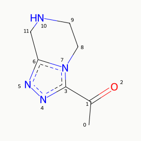 CC(=O)c1nnc2n1CCNC2